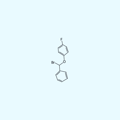 Fc1ccc(OC(Br)c2ccccc2)cc1